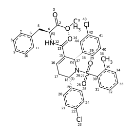 COC(=O)[C@H](Cc1ccccc1)NC(=O)C1=CC[C@@H](c2ccc(Cl)cc2)N(S(=O)(=O)c2ccccc2C)[C@H]1c1cccc(Cl)c1